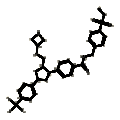 CCS(=O)(=O)c1ccc(CNC(=O)c2ccc(N3CC(c4ccc(C(F)(F)F)cc4)C[C@H]3COC3COC3)cc2)cc1